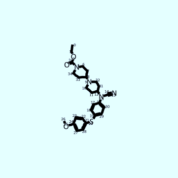 CCOC(=O)N1CCC(N2CCC(N(C#N)c3ccc(Sc4ccc(OC)cc4)cc3)CC2)CC1